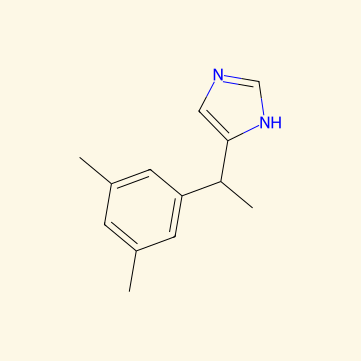 Cc1cc(C)cc(C(C)c2cnc[nH]2)c1